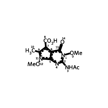 COn1c(NC(C)=O)nc2c(c(C(=O)O)c(C)n2OC)c1=O